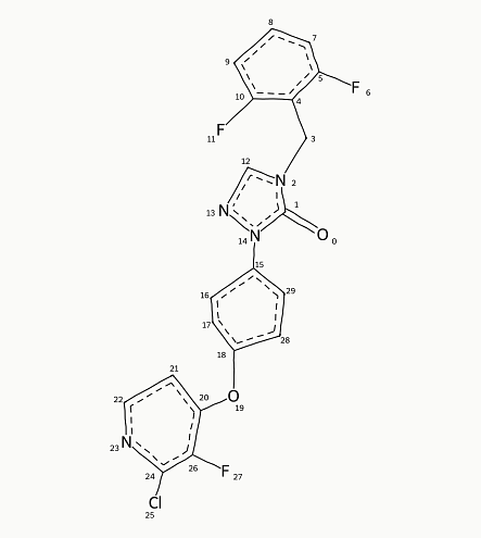 O=c1n(Cc2c(F)cccc2F)cnn1-c1ccc(Oc2ccnc(Cl)c2F)cc1